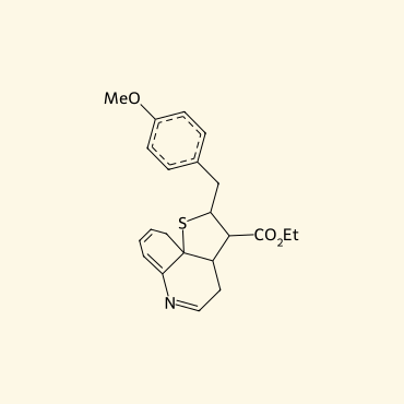 CCOC(=O)C1C(Cc2ccc(OC)cc2)SC23CC=CC=C2N=CCC13